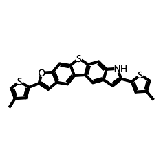 Cc1csc(-c2cc3cc4c(cc3[nH]2)sc2cc3oc(-c5cc(C)cs5)cc3cc24)c1